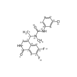 CC(c1c[nH]c(=O)c2cc(F)c(F)cc12)N(C)C(=O)Nc1cccc(Cl)c1